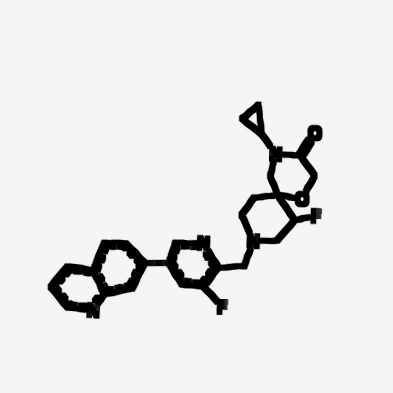 O=C1COC2(CCN(Cc3ncc(-c4ccc5cccnc5c4)cc3F)CC2F)CN1C1CC1